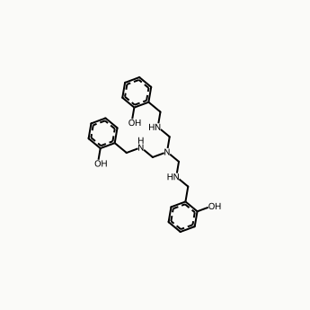 Oc1ccccc1CNCN(CNCc1ccccc1O)CNCc1ccccc1O